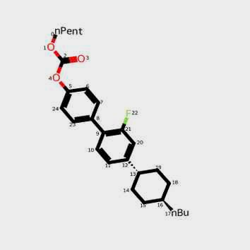 CCCCCOC(=O)Oc1ccc(-c2ccc([C@H]3CC[C@H](CCCC)CC3)cc2F)cc1